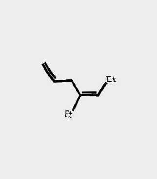 [CH2]CC=C(CC)CC=C